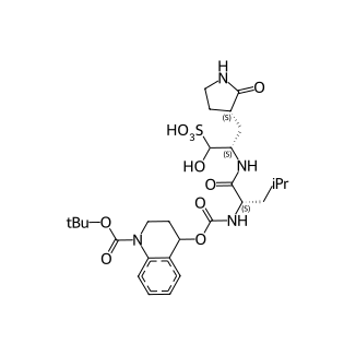 CC(C)C[C@H](NC(=O)OC1CCN(C(=O)OC(C)(C)C)c2ccccc21)C(=O)N[C@@H](C[C@@H]1CCNC1=O)C(O)S(=O)(=O)O